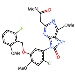 CNC(=O)Cc1nc(OC)c2[nH]c(=O)n(-c3cc(OCc4c(F)cccc4OC)c(OC)cc3Cl)c2n1